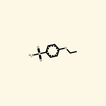 CCOc1ccc(S(N)(=O)=O)cc1